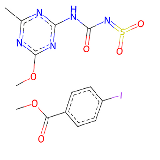 COC(=O)c1ccc(I)cc1.COc1nc(C)nc(NC(=O)N=S(=O)=O)n1